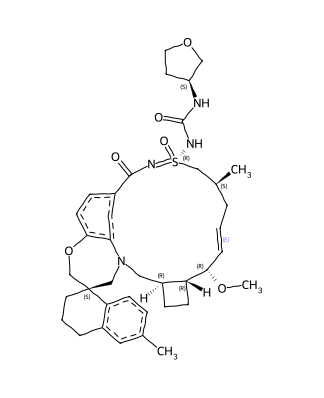 CO[C@H]1/C=C/C[C@H](C)C[S@@](=O)(NC(=O)N[C@H]2CCOC2)=NC(=O)c2ccc3c(c2)N(C[C@@H]2CC[C@H]21)C[C@@]1(CCCc2cc(C)ccc21)CO3